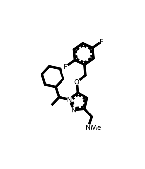 CNCc1cc(OCc2cc(F)ccc2F)n(C(C)C2CCCCC2)n1